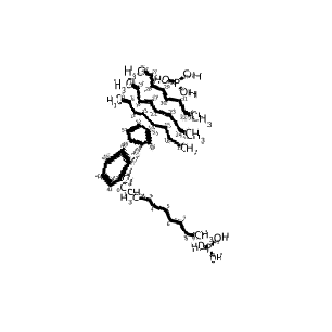 C.C.CCCCCCCC.CCCCCCCC.CCCCCCCC.CCCCCCCC.OP(O)O.OP(O)O.c1ccccc1.c1ccccc1